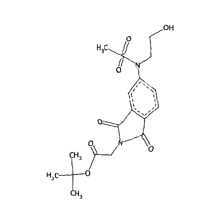 CC(C)(C)OC(=O)CN1C(=O)c2ccc(N(CCO)S(C)(=O)=O)cc2C1=O